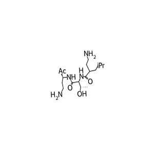 CC(=O)[C@H](CCN)NC(=O)[C@@H](NC(=O)C(CCN)CC(C)C)[C@H](C)O